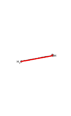 CCCCCCCCCCCCCCCCCCCCCCCCCCCCCCCCCCCCCCCCCCCCCCCCCCCCCCCCCCCCCCCCCCCCCCCC(=O)O